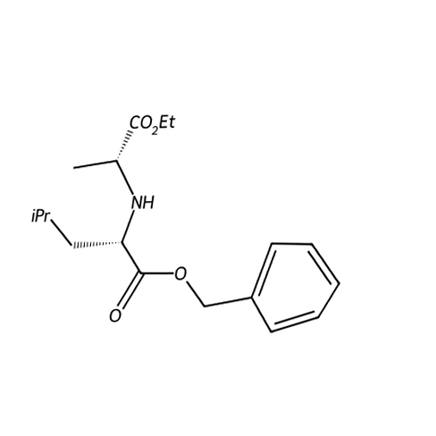 CCOC(=O)[C@@H](C)N[C@@H](CC(C)C)C(=O)OCc1ccccc1